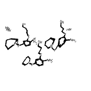 Br.Br.Br.Nc1ccc([P]N2CCCCC2)cc1SCCCO.Nc1ccc([P]N2CCCCC2)cc1SCCCO.Nc1ccc([P]N2CCCCC2)cc1SCCCO